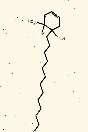 CCCC1(C(=O)O)CC=CCC1(CCCCCCCCCCCCC(C)C)C(=O)O